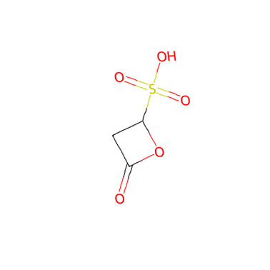 O=C1CC(S(=O)(=O)O)O1